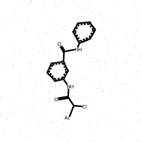 CC(=O)C(Cl)C(=O)Nc1cccc(C(=O)Nc2ccccc2)c1